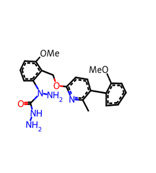 COc1ccccc1-c1ccc(OCc2c(OC)cccc2N(N)C(=O)NN)nc1C